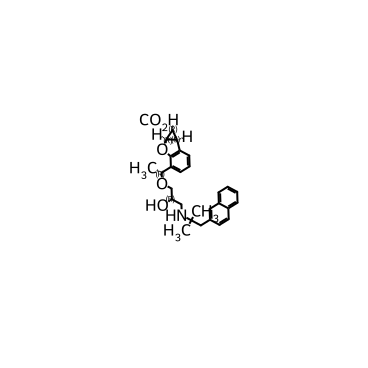 C[C@@H](OC[C@H](O)CNC(C)(C)Cc1ccc2ccccc2c1)c1cccc2c1O[C@H]1[C@H](C(=O)O)[C@@H]21